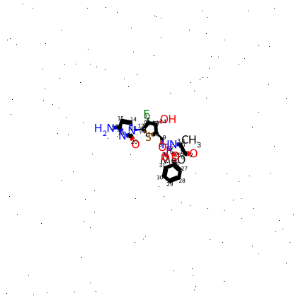 COC(=O)[C@H](C)NP(=O)(OC[C@H]1S[C@@H](n2ccc(N)nc2=O)[C@@H](F)[C@@H]1O)Oc1ccccc1